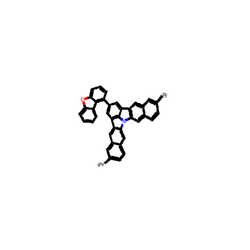 CC(C)c1ccc2cc3c(cc2c1)c1cc(-c2cccc4oc5ccccc5c24)cc2c4cc5cc(C(C)C)ccc5cc4n3c12